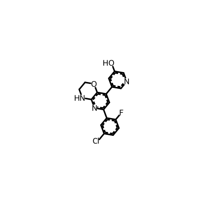 Oc1cncc(-c2cc(-c3cc(Cl)ccc3F)nc3c2OCCN3)c1